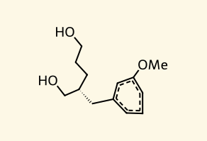 COc1cccc(C[C@H](CO)CCCO)c1